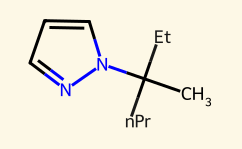 CCCC(C)(CC)n1cccn1